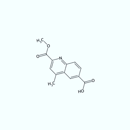 COC(=O)c1cc(C)c2cc(C(=O)O)ccc2n1